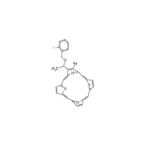 [2H]C1=C(C(C)OCc2ccccc2F)C2=CC3=NC(=CC4=NC(=CC5=NC(=CC1=N2)C=C5)C=C4)C=C3